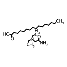 CCCCCCCCCCCCCCCC(=O)O.CCN(CC)CC(N)=O